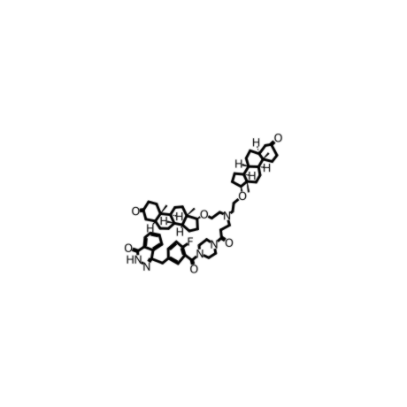 C[C@]12CCC(=O)C[C@@H]1CC[C@@H]1[C@@H]2CC[C@]2(C)[C@@H](OCCN(CCO[C@H]3CC[C@H]4[C@@H]5CC[C@H]6CC(=O)CC[C@]6(C)[C@H]5CC[C@]34C)CCC(=O)N3CCN(C(=O)c4cc(Cc5n[nH]c(=O)c6ccccc56)ccc4F)CC3)CC[C@@H]12